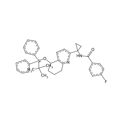 CC(C)(C)[Si](OC1CCCc2nc(C3(NC(=O)c4ccc(F)cc4)CC3)ccc21)(c1ccccc1)c1ccccc1